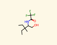 CCC(C)(CC)C(CO)NC(=O)C(F)(F)F